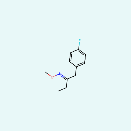 [CH2]CC(Cc1ccc(F)cc1)=NOC